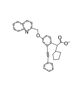 COC(=O)C(c1ccc(OCc2ccc3ccccc3n2)cc1C#Cc1ccccc1)C1CCCC1